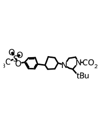 CC(C)(C)C1CN(C2CCC(c3ccc(OS(=O)(=O)C(F)(F)F)cc3)CC2)CCN1C(=O)O